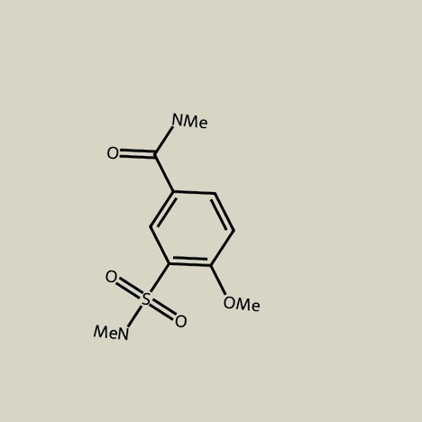 CNC(=O)c1ccc(OC)c(S(=O)(=O)NC)c1